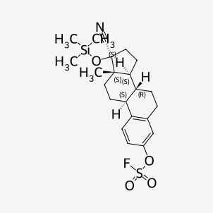 C[C@]12CC[C@@H]3c4ccc(OS(=O)(=O)F)cc4CC[C@H]3[C@@H]1CC[C@]2(C#N)O[Si](C)(C)C